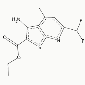 CCOC(=O)c1sc2nc(C(F)F)cc(C)c2c1N